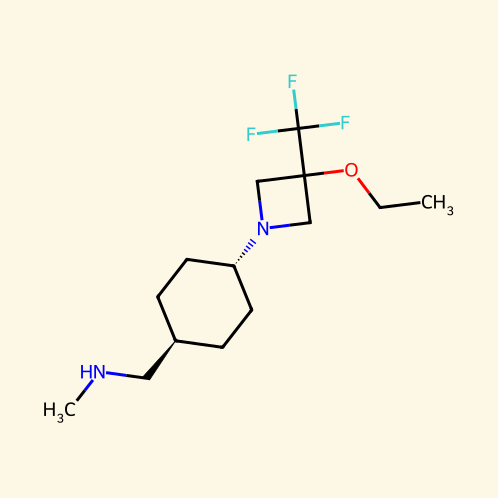 CCOC1(C(F)(F)F)CN([C@H]2CC[C@H](CNC)CC2)C1